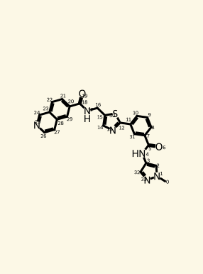 Cn1cc(NC(=O)c2cccc(-c3ncc(CNC(=O)c4ccc5cnccc5c4)s3)c2)cn1